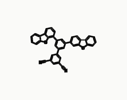 N#Cc1cc(C#N)cc(-c2cc(-c3ccc4c(c3)oc3ccccc34)cc(-c3cccc4c3oc3ccccc34)c2)c1